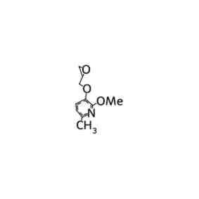 COc1nc(C)ccc1OCC1CO1